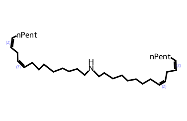 CCCCC/C=C\C/C=C\CCCCCCCCNCCCCCCCC/C=C\C/C=C\CCCCC